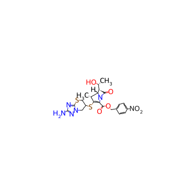 C[C@@H](O)[C@H]1C(=O)N2C(C(=O)OCc3ccc([N+](=O)[O-])cc3)=C(SC3CSc4nc(N)nn4C3)[C@H](C)[C@H]12